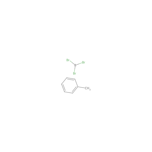 BrB(Br)Br.Cc1ccccc1